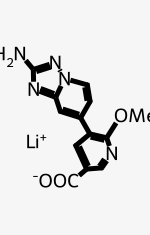 COc1ncc(C(=O)[O-])cc1-c1ccn2nc(N)nc2c1.[Li+]